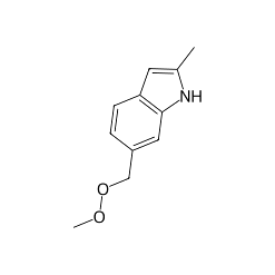 COOCc1ccc2cc(C)[nH]c2c1